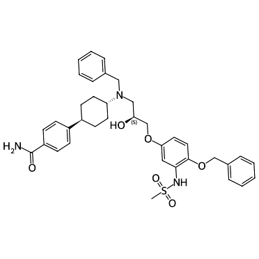 CS(=O)(=O)Nc1cc(OC[C@@H](O)CN(Cc2ccccc2)[C@H]2CC[C@H](c3ccc(C(N)=O)cc3)CC2)ccc1OCc1ccccc1